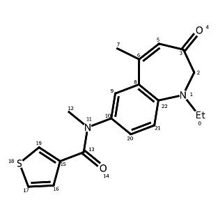 CCN1CC(=O)C=C(C)c2cc(N(C)C(=O)c3ccsc3)ccc21